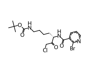 CC(C)(C)OC(=O)NCCCC[C@H](NC(=O)c1cccnc1Br)C(=O)CCl